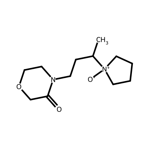 CC(CCN1CCOCC1=O)[N+]1([O-])CCCC1